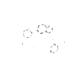 Cc1cccc(CC(=O)O)c1OCc1coc2ccc(-c3cccc(CN)c3)cc12